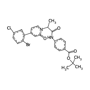 CC(C(=O)Nc1ccc(C(=O)OC(C)(C)C)cc1)n1ccc(-c2cc(Cl)ccc2Br)cc1=O